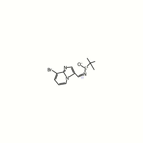 CC(C)(C)[S+]([O-])/N=C\c1cnc2c(Br)cccn12